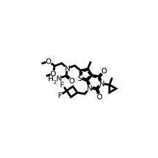 COC(CN(Cc1sc2c(c1C)c(=O)n(C1(C)CC1)c(=O)n2CC1CC(F)(F)C1)C(N)=O)OC